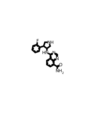 NC(=O)c1cccc2c(NC3CNCC3c3ccccc3F)ncnc12